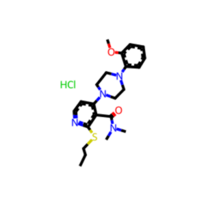 CCCSc1nccc(N2CCN(c3ccccc3OC)CC2)c1C(=O)N(C)C.Cl